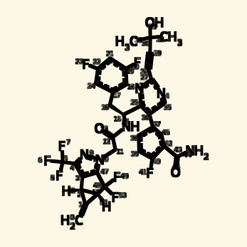 C=C1[C@@H]2c3c(C(F)(F)F)nn(CC(=O)N[C@@H](Cc4cc(F)cc(F)c4)c4nc(C#CC(C)(C)O)ncc4-c4ccc(F)c(C(N)=O)c4)c3C(F)(F)[C@H]12